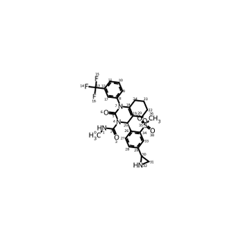 CNC(=O)N1C(=O)N(c2cccc(C(F)(F)F)c2)C2=C(C(=O)CCC2)[C@H]1c1ccc(C2CN2)cc1S(C)(=O)=O